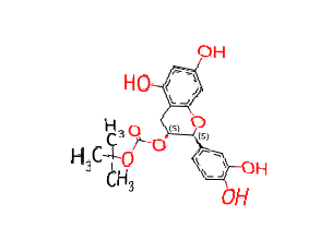 CC(C)(C)OC(=O)O[C@H]1Cc2c(O)cc(O)cc2O[C@H]1c1ccc(O)c(O)c1